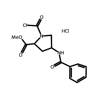 COC(=O)C1CC(NC(=O)c2ccccc2)CN1C(=O)Cl.Cl